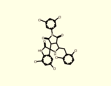 O=C1C2C(Cc3c(Cl)cccc3Cl)NC3(C(=O)Nc4c(Cl)cc(Cl)cc43)C2C(=O)N1c1cc(Cl)cc(Cl)c1